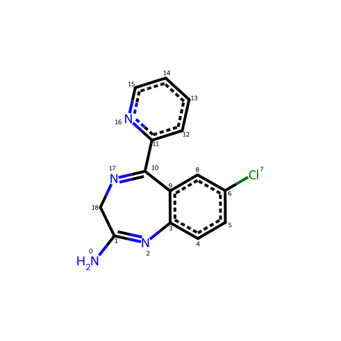 NC1=Nc2ccc(Cl)cc2C(c2ccccn2)=NC1